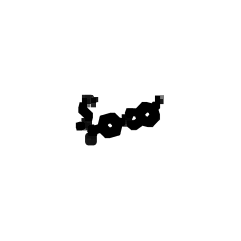 CC(C)CCN(C)C(=O)c1ccc(N2Cc3ccc(F)cc3C2)cc1